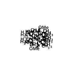 COCCCN(c1nc(N(CCCOC)C2CC(C)(C)NC(C)(C)C2)nc(N(C2CC(C)(C)NC(C)(C)C2)C2CC(C)(C)NC(C)(C)C2)n1)C1CC(C)(C)NC(C)(C)C1